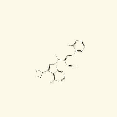 CC(/C(=C/Nc1ccccc1F)N=N)n1cc(C2COC2)c2c(Cl)ncnc21